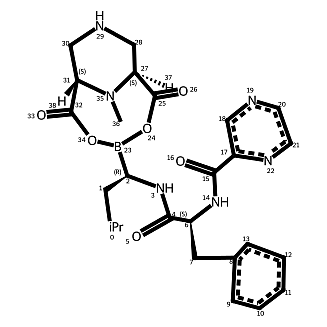 CC(C)C[C@H](NC(=O)[C@H](Cc1ccccc1)NC(=O)c1cnccn1)B1OC(=O)[C@@H]2CNC[C@@H](C(=O)O1)N2C